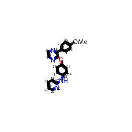 COc1ccc(-c2nccnc2Oc2ccc(Nc3ccccn3)cc2)cc1